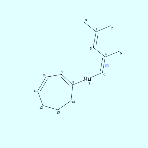 CC(C)=C/C(C)=[CH]\[Ru][C]1=CC=CCCC1